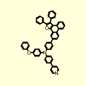 c1ccc(Oc2ccc(N(c3ccc(-c4ccncc4)cc3)c3ccc(-c4ccc5c6ccccc6c6c(-c7ccccc7)c(-c7ccccc7)oc6c5c4)cc3)cc2)cc1